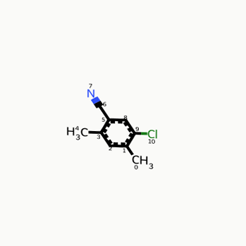 Cc1cc(C)c(C#N)cc1Cl